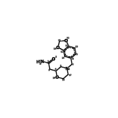 NC(=O)CC1CN(Cc2ccc3c(c2)OCO3)CCO1